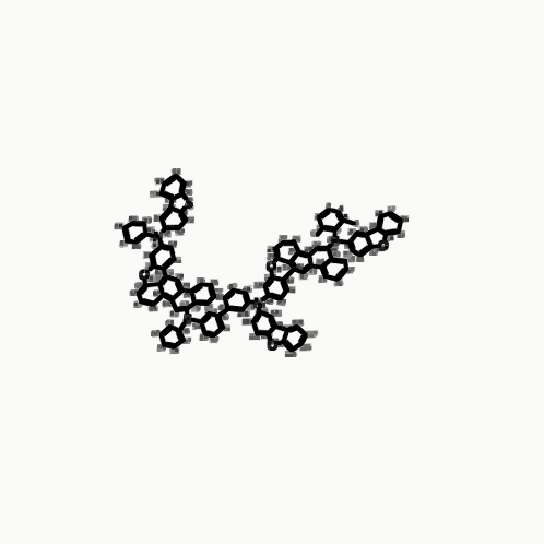 Cc1cccc(C)c1B(c1ccc2oc3ccccc3c2c1)c1cc2c3cccc4c3c(cc2c2ccccc12)-c1ccc(N(c2cccc(-c3cccc(B(c5ccccc5)c5cc6c7cccc8c7c(cc6c6ccccc56)-c5ccc(N(c6ccccc6)c6ccc7sc9ccccc9c7c6)cc5O8)c3)c2)c2ccc3oc5ccccc5c3c2)cc1O4